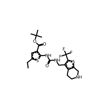 CCc1cc(C(=O)OC(C)(C)C)c(NC(=O)NCc2c(C(F)(F)F)sc3c2CCNC3)s1